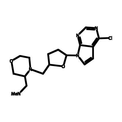 CNCC1COCCN1CC1CCC(n2ccc3c(Cl)ncnc32)O1